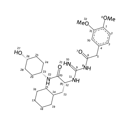 COc1ccc(CC(=O)NC(=N)N[C@H](CC2CCCCC2)C(=O)N[C@H]2CC[C@@H](O)CC2)cc1OC